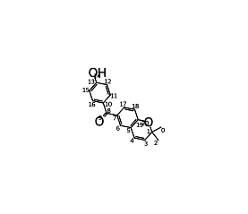 CC1(C)C=Cc2cc(C(=O)c3ccc(O)cc3)ccc2O1